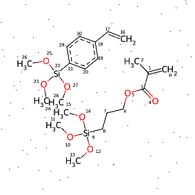 C=C(C)C(=O)OCCC[Si](OC)(OC)OC.C=Cc1ccc([Si](OC)(OC)OC)cc1